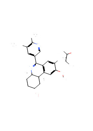 CCOc1cc2c(cc1OC)C(c1cnc(OC)c(OC)c1)=N[C@@H]1CC[C@@H](O)C[C@H]21.O=C(O)CC(O)C(=O)O